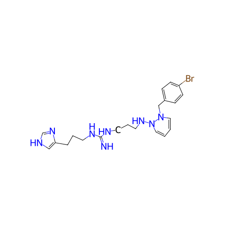 N=C(NCCCNN1C=CC=CN1Cc1ccc(Br)cc1)NCCCc1c[nH]cn1